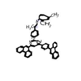 C=C1CC(C)C=C/C1=N/C=C(\C)C1=CC[C@@H](c2nc(-c3cc4ccccc4c4ccccc34)cc(C3C=CC(c4cc5ccccc5c5ccccc45)=CC3)n2)C=C1